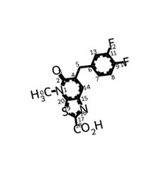 Cn1c(=O)c(Cc2ccc(F)c(F)c2)cc2nc(C(=O)O)sc21